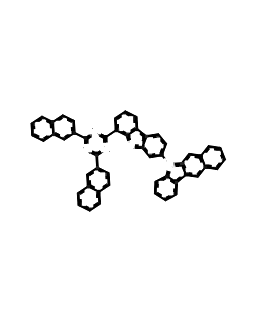 c1ccc2cc(-c3nc(-c4ccc5ccccc5c4)nc(-c4cccc5c4sc4cc(-n6c7ccccc7c7cc8ccccc8cc76)ccc45)n3)ccc2c1